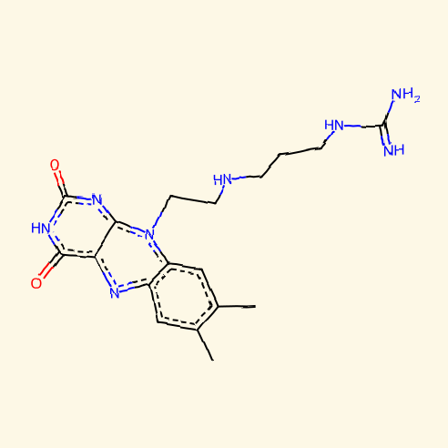 Cc1cc2nc3c(=O)[nH]c(=O)nc-3n(CCNCCCNC(=N)N)c2cc1C